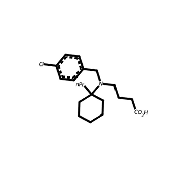 CCCC1(N(CCCC(=O)O)Cc2ccc(Cl)cc2)CCCCC1